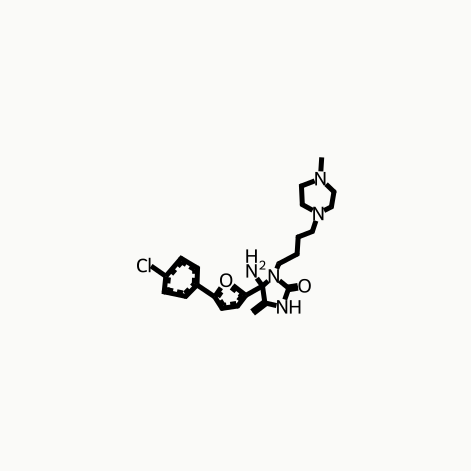 C=C1NC(=O)N(CCCCN2CCN(C)CC2)C1(N)c1ccc(-c2ccc(Cl)cc2)o1